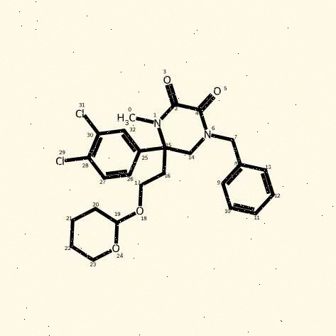 CN1C(=O)C(=O)N(Cc2ccccc2)CC1(CCOC1CCCCO1)c1ccc(Cl)c(Cl)c1